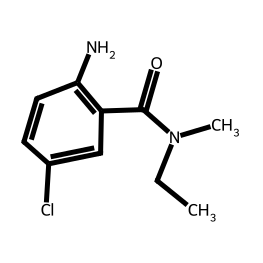 CCN(C)C(=O)c1cc(Cl)ccc1N